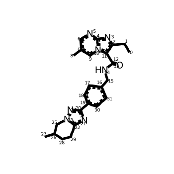 CCc1nc2ncc(C)cn2c1C(=O)NCc1ccc(-c2nc3n(n2)CC(C)CC3)cc1